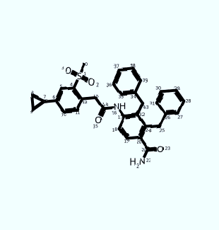 CS(=O)(=O)c1cc(C2CC2)ccc1CC(=O)Nc1ccc(C(N)=O)c(Cc2ccccc2)c1Cc1ccccc1